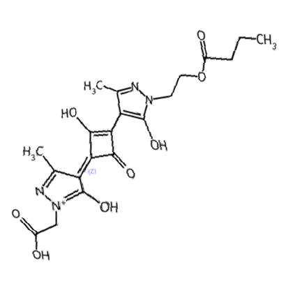 CCCC(=O)OCCn1nc(C)c(C2=C(O)/C(=C3\C(C)=N[N+](CC(=O)O)=C3O)C2=O)c1O